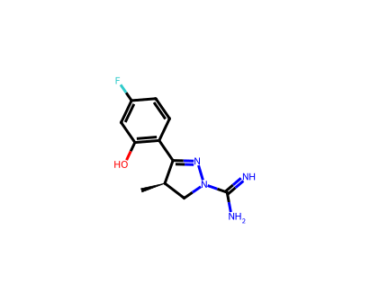 C[C@@H]1CN(C(=N)N)N=C1c1ccc(F)cc1O